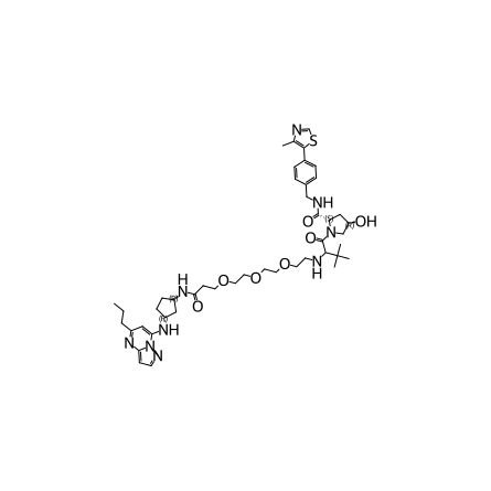 CCCc1cc(N[C@@H]2CC[C@@H](NC(=O)CCOCCOCCOCCNC(C(=O)N3C[C@H](O)C[C@H]3C(=O)NCc3ccc(-c4scnc4C)cc3)C(C)(C)C)C2)n2nccc2n1